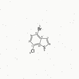 Clc1ccc(Br)c2ccsc12